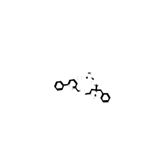 O=C(NCB(O)O)C1(Cc2ccccc2)CC(COCc2cccc(-c3ccccc3)n2)=NO1